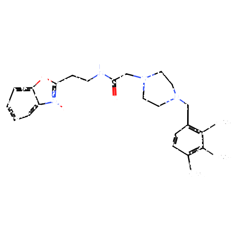 COc1ccc(CN2CCN(CC(=O)NCCc3oc4ccccc4[n+]3[O-])CC2)c(OC)c1OC